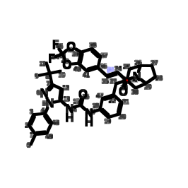 Cc1ccc(-n2nc(C(C)(C)C)cc2NC(=O)Nc2cccc(CC3CC4CCC(C3)N4C(=O)/C=C/c3ccc4c(c3)OC(F)(F)O4)c2)cc1